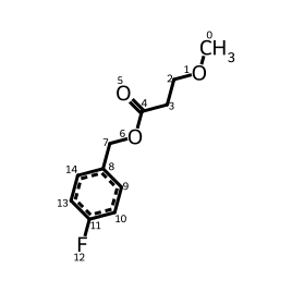 COCCC(=O)OCc1ccc(F)cc1